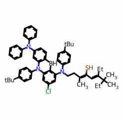 CC/C(=C\C(S)=C(/C)CCN(c1ccc(C(C)(C)C)cc1)c1cc(Cl)cc2c1Bc1ccc(N(c3ccccc3)c3ccccc3)cc1N2c1ccc(C(C)(C)C)cc1)C(C)(C)CC